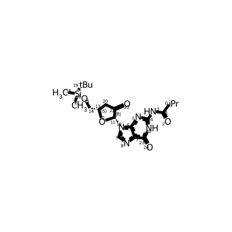 CC(C)C(=O)Nc1nc2c(ncn2[C@@H]2O[C@H](CO[Si](C)(C)C(C)(C)C)CC2=O)c(=O)[nH]1